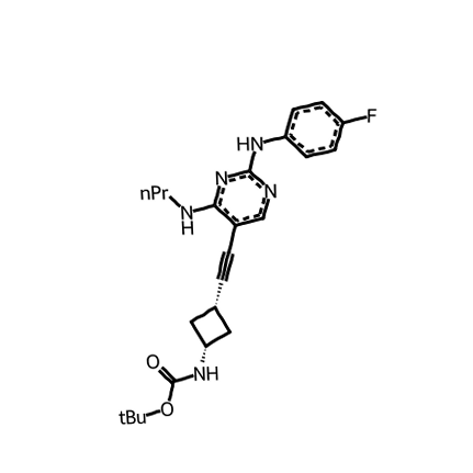 CCCNc1nc(Nc2ccc(F)cc2)ncc1C#C[C@H]1C[C@@H](NC(=O)OC(C)(C)C)C1